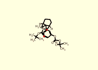 COC1(c2cccc(OC(=O)OC(C)(C)C)c2)[C@@H]2CCC[C@H]1CN(C(=O)OC(C)(C)C)C2